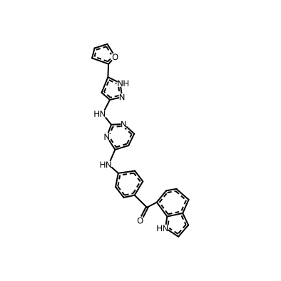 O=C(c1ccc(Nc2ccnc(Nc3cc(-c4ccco4)[nH]n3)n2)cc1)c1cccc2cc[nH]c12